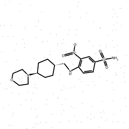 NS(=O)(=O)c1ccc(NC[C@H]2CC[C@H](N3CCOCC3)CC2)c([N+](=O)[O-])c1